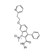 CC(C)NC(=O)C1=C(c2ccccc2)c2ccc(OCCc3ccccn3)cc2/C1=[N+](/C)[O-]